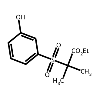 CCOC(=O)C(C)(C)S(=O)(=O)c1cccc(O)c1